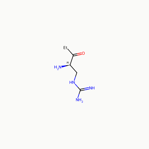 CCC(=O)[C@H](N)CNC(=N)N